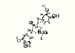 COc1cc(C=C2CN(C(C)=O)CC(=Cc3ccc(O)c(OC)c3)C2=O)ccc1O